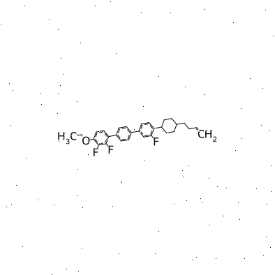 C=CCCC1CCC(c2ccc(-c3ccc(-c4ccc(OCC)c(F)c4F)cc3)cc2F)CC1